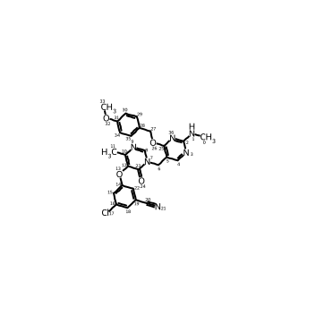 CNc1ncc(Cn2cnc(C)c(Oc3cc(Cl)cc(C#N)c3)c2=O)c(OCc2ccc(OC)cc2)n1